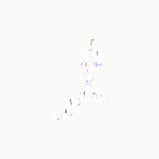 CC/C(=C\CN1CCN(C(=O)Nc2ccc(F)cc2)CC1)c1ccc2cc(Cl)ccc2c1